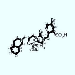 CC(C)(C)[Si](C)(C)O[C@H](CN1CCc2ccccc2C1)CN1CCN(Cc2ncc(Br)cc2C(=O)O)C1=O